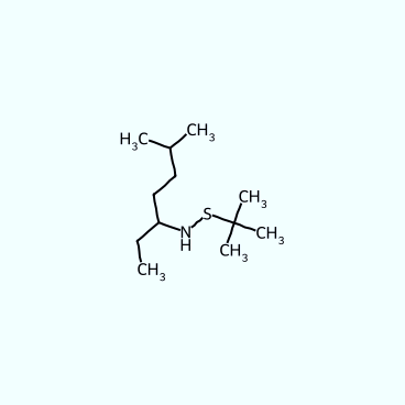 CCC(CCC(C)C)NSC(C)(C)C